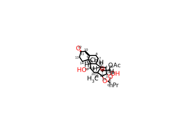 CCCC1O[C@@H]2C[C@H]3[C@@H]4CCC5=CC(=O)CC[C@]5(C)[C@H]4[C@@H](O)C[C@]3(C)[C@]2(C(=O)C(O)OC(C)=O)O1